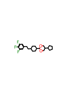 Fc1cc(CCC2CCC(C3OCC(C4CCCC4)CO3)CC2)cc(F)c1F